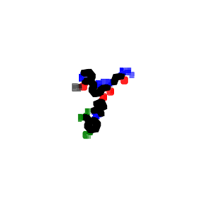 CCOc1ncccc1-c1ccc(OC2CC3(C2)CN(c2ccc(Cl)cc2C(F)F)C3)c(C(=O)NCCC(N)=O)n1